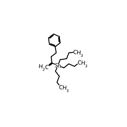 C=[C](CCc1ccccc1)[Sn]([CH2]CCC)([CH2]CCC)[CH2]CCC